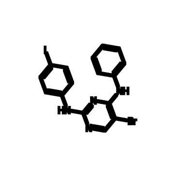 Brc1cnc(Nc2ccc(I)cc2)nc1Nc1ccccc1